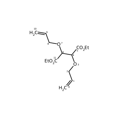 C=CCOC(C(=O)OCC)C(OCC=C)C(=O)OCC